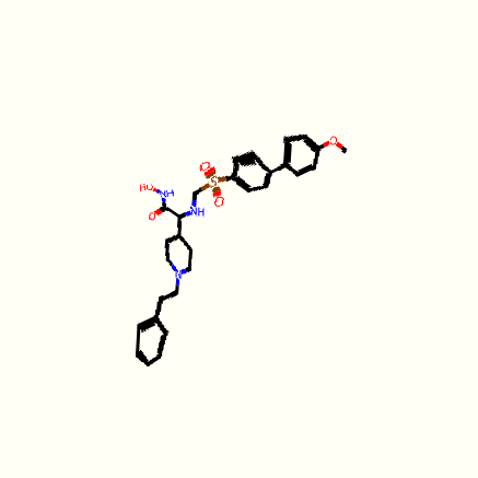 COc1ccc(-c2ccc(S(=O)(=O)CNC(C(=O)NO)C3CCN(CCc4ccccc4)CC3)cc2)cc1